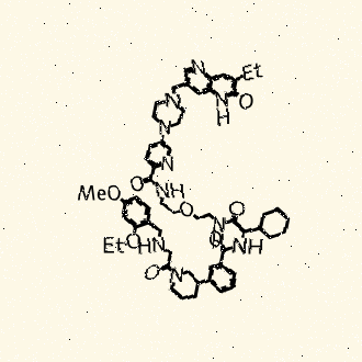 CCOc1cc(OC)ccc1CNCC(=O)N1CCCC(c2cccc(C(=O)N[C@@H](C(=O)NCCOCCNC(=O)c3ccc(N4CCN(Cc5cnc6cc(CC)c(=O)[nH]c6c5)CC4)cn3)C3CCCCC3)c2)C1